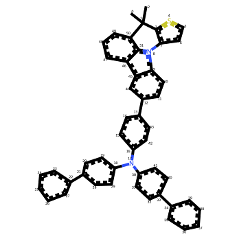 CC1(C)c2sccc2-n2c3ccc(-c4ccc(N(c5ccc(-c6ccccc6)cc5)c5ccc(-c6ccccc6)cc5)cc4)cc3c3cccc1c32